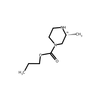 CCCOC(=O)N1CCN[C@H](C)C1